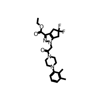 CCOC(=O)c1nn(CC(=O)N2CCN(c3cccc(C)c3C)CC2)c2c1CC(F)(F)C2